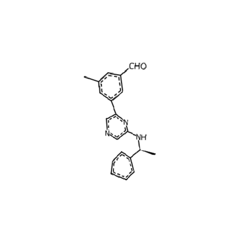 Cc1cc(C=O)cc(-c2cncc(N[C@@H](C)c3ccccc3)n2)c1